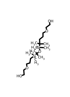 CC(C)(O[Si](C)(C)C(C)(C)CCCOCCO)[Si](C)(C)CCCOCCO